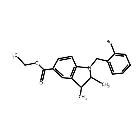 CCOC(=O)c1ccc2c(c1)C(C)C(C)N2Cc1ccccc1Br